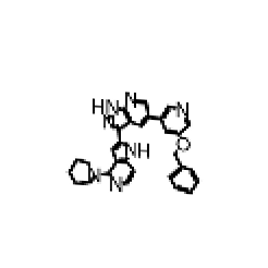 c1ccc(COc2cncc(-c3cnc4[nH]nc(-c5cc6c(N7CCCCC7)nccc6[nH]5)c4c3)c2)cc1